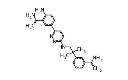 C=C(N)c1cccc(C(C)(C)CNc2ccc(-c3ccc(N)c(C(=C)N)c3)nn2)c1